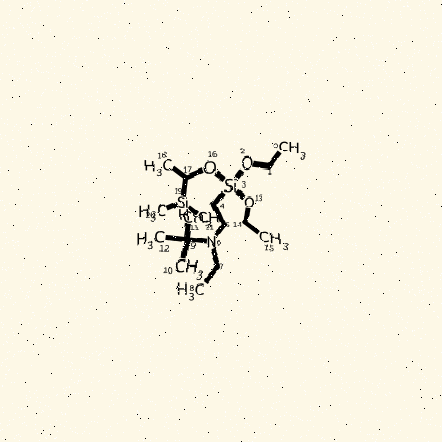 CCO[Si](CCN(CC)C(C)(C)C)(OCC)OC(C)[SiH](C)C